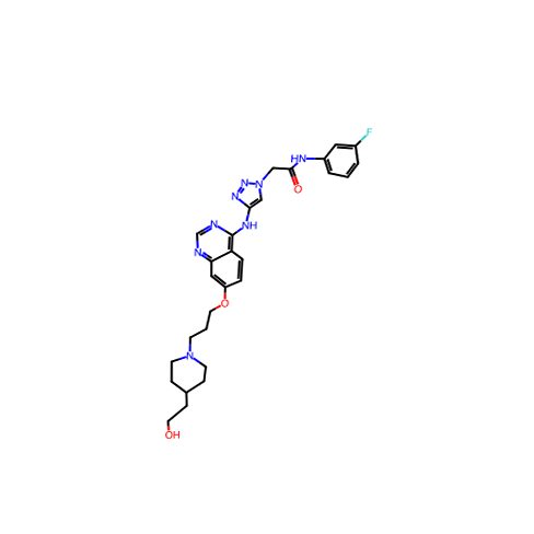 O=C(Cn1cc(Nc2ncnc3cc(OCCCN4CCC(CCO)CC4)ccc23)nn1)Nc1cccc(F)c1